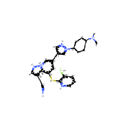 CN(C)C1CCC(n2cc(-c3cc(Sc4ncccc4F)c4c(C#N)cnn4c3)cn2)CC1